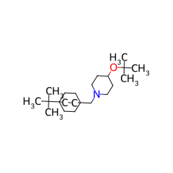 CC(C)(C)OC1CCN(CC23CCC(C(C)(C)C)(CC2)CC3)CC1